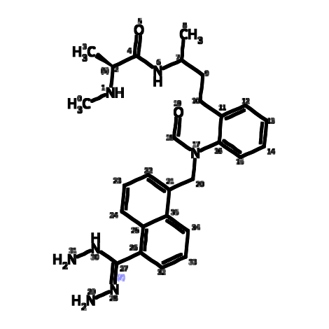 CN[C@@H](C)C(=O)NC(C)CCc1ccccc1N(C=O)Cc1cccc2c(/C(=N/N)NN)cccc12